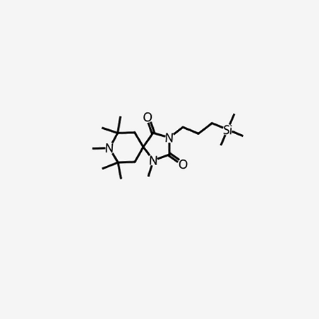 CN1C(C)(C)CC2(CC1(C)C)C(=O)N(CCC[Si](C)(C)C)C(=O)N2C